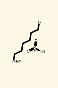 O=[SH](=O)O.[Li][CH2]CCCCCCCCCCC